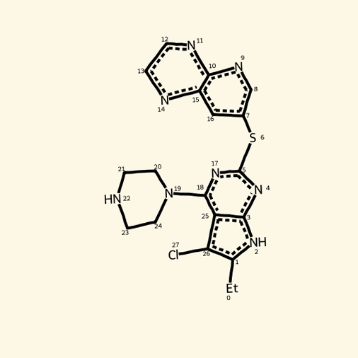 CCc1[nH]c2nc(Sc3cnc4nccnc4c3)nc(N3CCNCC3)c2c1Cl